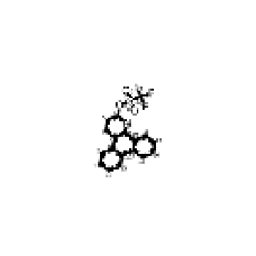 O=S(=O)(Oc1ccc2c3ccccc3c3ccccc3c2n1)C(F)(F)F